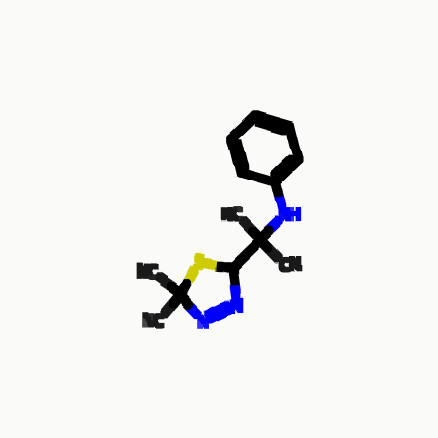 N#CC1(C#N)N=NC(C(C#N)(C#N)Nc2ccccc2)S1